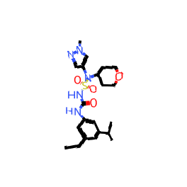 CCc1cc(NC(=O)NS(=O)(=O)N(c2cnn(C)c2)C2CCOCC2)cc(C(C)C)c1